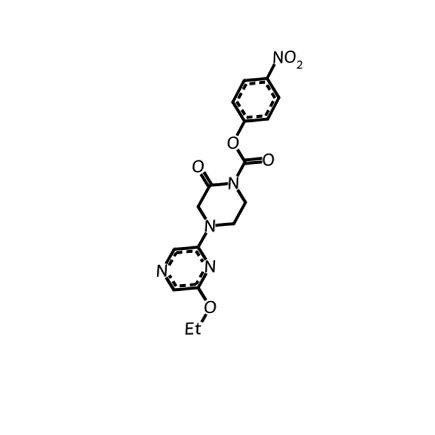 CCOc1cncc(N2CCN(C(=O)Oc3ccc([N+](=O)[O-])cc3)C(=O)C2)n1